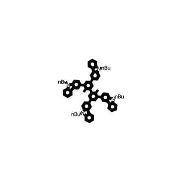 CCCCn1c2ccccc2c2cc(-c3cc(-c4ccc5c(c4)c4ccccc4n5CCCC)c(C)c(-c4cc(-c5ccc6c(c5)c5ccccc5n6CCCC)cc(-c5ccc6c(c5)c5ccccc5n6CCCC)c4C)c3)ccc21